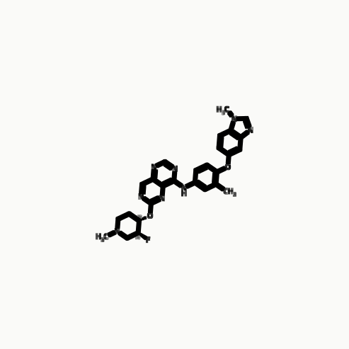 Cc1cc(Nc2ncnc3cnc(O[C@H]4CCN(C)C[C@@H]4F)nc23)ccc1Oc1ccc2c(c1)ncn2C